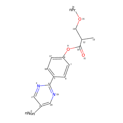 CCCCCCCCCc1cnc(-c2ccc(OC(=O)C(C)COCCC)cc2)nc1